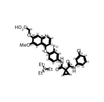 CCN(CC)CC.COc1cc2c(Oc3ccc(NC(=O)C4(C(=O)Nc5cccc(Cl)c5)CC4)cc3F)ccnc2cc1OCC(=O)O